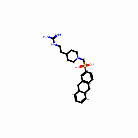 N=C(N)NCCC1CCN(CS(=O)(=O)c2ccc3c(c2)CC2C=CC=CC2C3)CC1